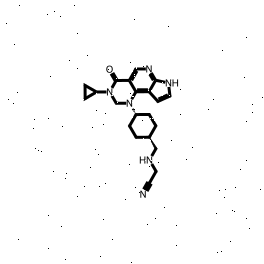 N#CCNC[C@H]1CC[C@H](N2CN(C3CC3)C(=O)c3cnc4[nH]ccc4c32)CC1